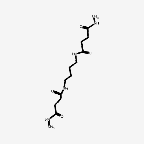 CNC(=O)CCC(=O)NCCCCNC(=O)CCC(=O)NC